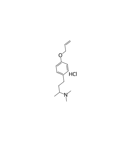 C=CCOc1ccc(CCC(C)N(C)C)cc1.Cl